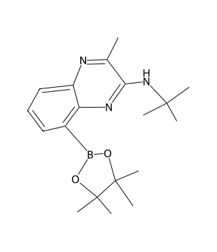 Cc1nc2cccc(B3OC(C)(C)C(C)(C)O3)c2nc1NC(C)(C)C